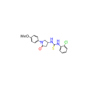 COc1ccc(N2CC(NC(=S)Nc3ccccc3Cl)CC2=O)cc1